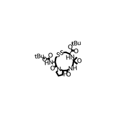 CC(C)(C)OC(=O)N[C@H]1CSSC[C@@H](C(=O)OC(C)(C)C)NC2(CNC(=O)[C@@H]3CCCN3C1=O)COC2